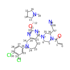 C=CC(=O)N1CCN(c2nc(OC[C@@H]3CCCN3C)nc3c2CCCN(c2ccc(Cl)c(Cl)c2)C3)CC1CC#N